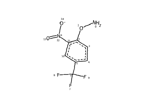 NOc1ccc(C(F)(F)F)cc1[N+](=O)[O-]